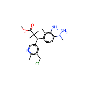 COC(=O)C(C)(C)C(c1cnc(C)c(CCl)c1)c1ccc(N(C)N)c(N)c1C